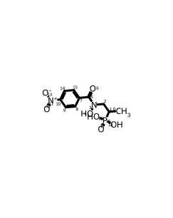 CC(CN(O)C(=O)c1ccc([N+](=O)[O-])cc1)P(=O)(O)O